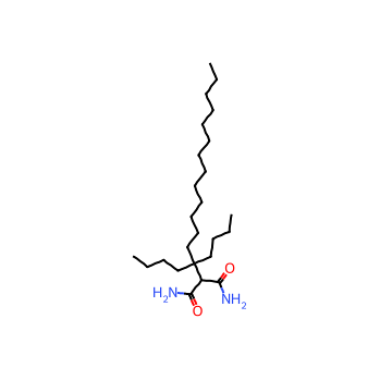 CCCCCCCCCCCCCC(CCCC)(CCCC)C(C(N)=O)C(N)=O